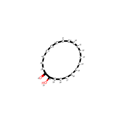 O=C1CCCCCCCCCCCCCCCCCCC1O